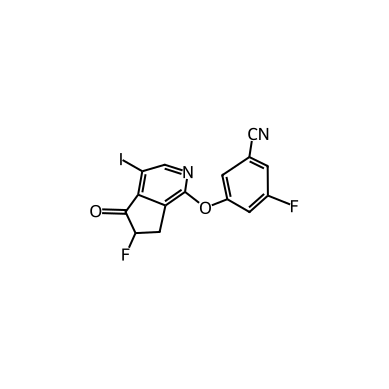 N#Cc1cc(F)cc(Oc2ncc(I)c3c2CC(F)C3=O)c1